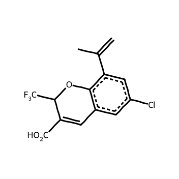 C=C(C)c1cc(Cl)cc2c1OC(C(F)(F)F)C(C(=O)O)=C2